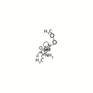 C=CC[C@H](C(N)=O)[C@@H](CC1CC1)C(=O)N[C@H]1CCCCN(Cc2cccc(-c3ccc(C)cc3)c2)C1=O